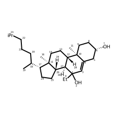 CCC1(O)C=C2C[C@@H](O)CC[C@]2(C)[C@H]2CC[C@]3(C)[C@@H](C(C)CCCC(C)C)CC[C@H]3[C@@H]21